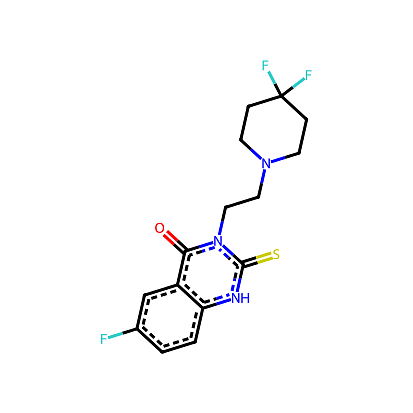 O=c1c2cc(F)ccc2[nH]c(=S)n1CCN1CCC(F)(F)CC1